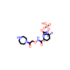 O=C(NOCC(=O)N1CCCNCC1)[C@@H]1CC[C@@H]2CN1C(=O)N2OS(=O)(=O)O